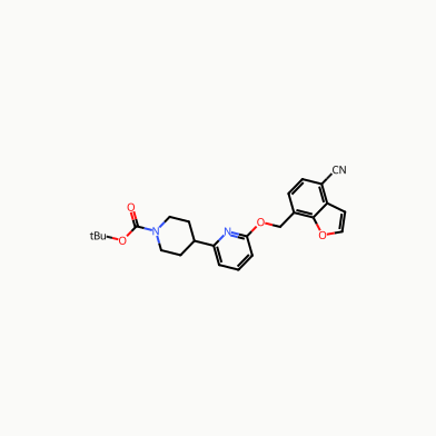 CC(C)(C)OC(=O)N1CCC(c2cccc(OCc3ccc(C#N)c4ccoc34)n2)CC1